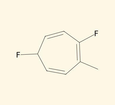 CC1=C(F)C=CC(F)C=C1